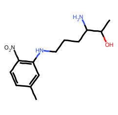 Cc1ccc([N+](=O)[O-])c(NCCCC(N)C(C)O)c1